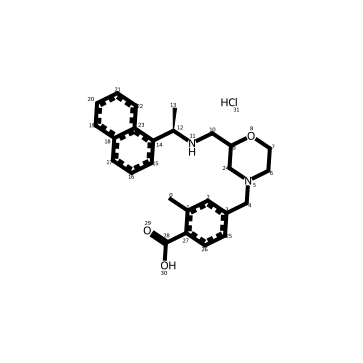 Cc1cc(CN2CCOC(CN[C@H](C)c3cccc4ccccc34)C2)ccc1C(=O)O.Cl